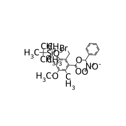 COc1cc(O[Si](C)(C)C(C)(C)C)c(CBr)c(C(=O)OC(c2ccccc2)[N+](=O)[O-])c1C